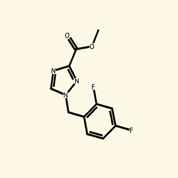 COC(=O)c1ncn(Cc2ccc(F)cc2F)n1